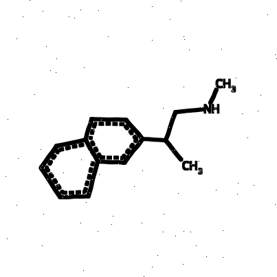 CNCC(C)c1ccc2ccccc2c1